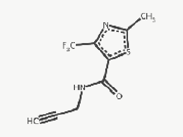 C#CCNC(=O)c1sc(C)nc1C(F)(F)F